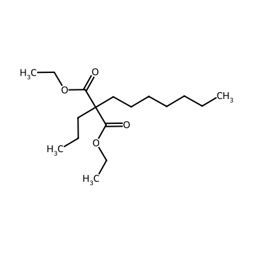 CCCCCCCC(CCC)(C(=O)OCC)C(=O)OCC